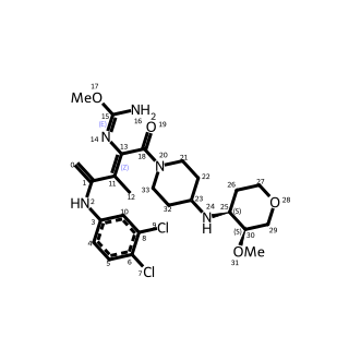 C=C(Nc1ccc(Cl)c(Cl)c1)/C(C)=C(\N=C(/N)OC)C(=O)N1CCC(N[C@H]2CCOC[C@H]2OC)CC1